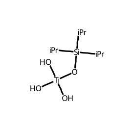 CC(C)[Si]([O][Ti]([OH])([OH])[OH])(C(C)C)C(C)C